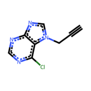 C#CCn1cnc2ncnc(Cl)c21